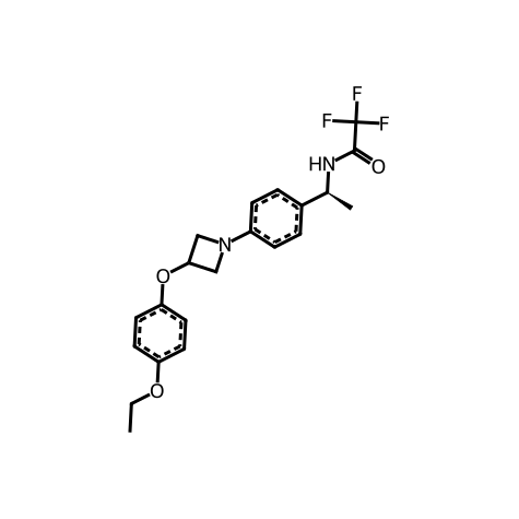 CCOc1ccc(OC2CN(c3ccc([C@H](C)NC(=O)C(F)(F)F)cc3)C2)cc1